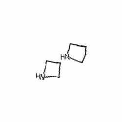 C1CNC1.C1CNC1